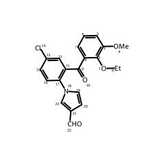 CCOc1c(OC)cccc1C(=O)c1cc(Cl)ccc1-n1ccc(C=O)c1